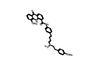 COc1ccc(CCN(C)CCCCc2ccc(NC(=O)c3cccc4c(=O)c5cccc(OC)c5[nH]c34)cc2)cc1